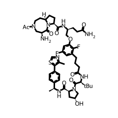 CC(=O)N1CC[C@H]2CC[C@@H](C(=O)N[C@@H](CCC(N)=O)COc3cc(F)cc(CCCC(=O)N[C@H](C(=O)N4C[C@H](O)C[C@H]4C(=O)N[C@@H](C)c4ccc(-c5scnc5C)cc4)C(C)(C)C)c3F)N2C(=O)[C@@H](N)C1